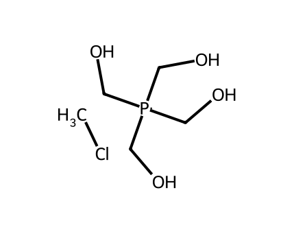 CCl.OC[P](CO)(CO)CO